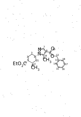 CCOC(=O)[C@@H]1CC[C@H](n2ncc(C(=O)OCc3ccccc3)c2C)C[C@H]1C